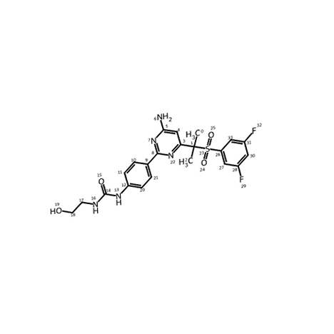 CC(C)(c1cc(N)nc(-c2ccc(NC(=O)NCCO)cc2)n1)S(=O)(=O)c1cc(F)cc(F)c1